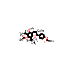 CCCOc1c(C=C(OC)C(=O)c2ccc(OC(=O)C(C)(C)C)cc2)cc(C(C)(C)CC)c(OC(=O)C(C)(C)C)c1C(C)(C)CC